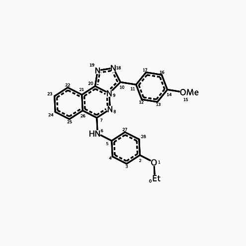 CCOc1ccc(Nc2nn3c(-c4ccc(OC)cc4)nnc3c3ccccc23)cc1